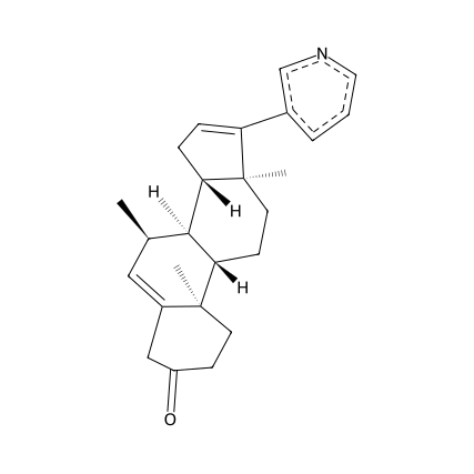 C[C@@H]1C=C2CC(=O)CC[C@]2(C)[C@H]2CC[C@]3(C)C(c4cccnc4)=CC[C@H]3[C@H]12